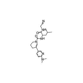 CC(C)CC(NC(=O)N1C=C(c2ccc(N(C)C)nc2)CCC1)C(=O)NCC#N